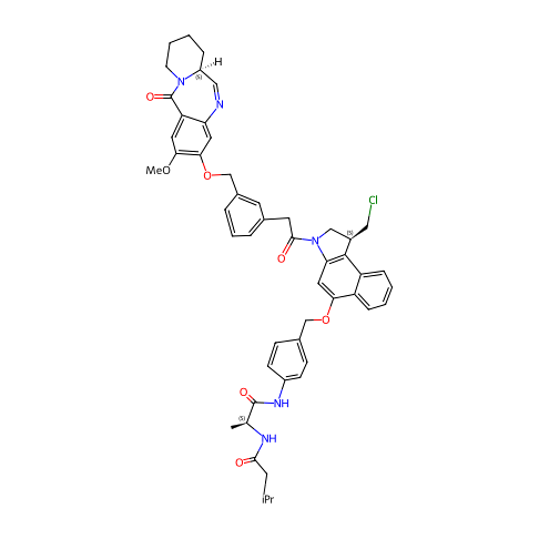 COc1cc2c(cc1OCc1cccc(CC(=O)N3C[C@@H](CCl)c4c3cc(OCc3ccc(NC(=O)[C@H](C)NC(=O)CC(C)C)cc3)c3ccccc43)c1)N=C[C@@H]1CCCCN1C2=O